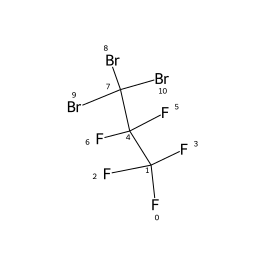 FC(F)(F)C(F)(F)C(Br)(Br)Br